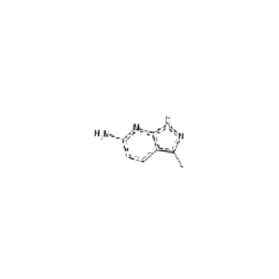 Cc1n[nH]c2nc(N)ccc12